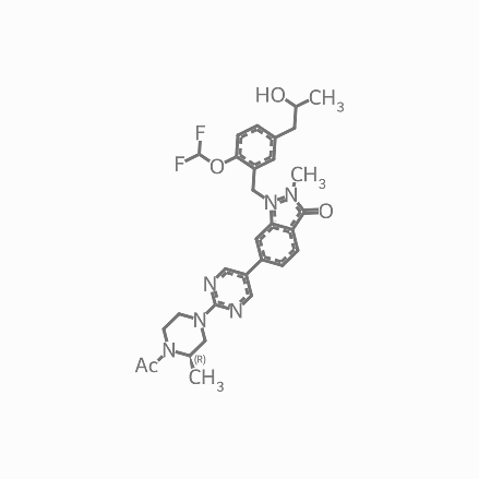 CC(=O)N1CCN(c2ncc(-c3ccc4c(=O)n(C)n(Cc5cc(CC(C)O)ccc5OC(F)F)c4c3)cn2)C[C@H]1C